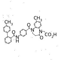 Cc1ccc(-c2ccccc2C(=O)Nc2ccc(C(=O)N3CCC(=O)N(CC(=O)O)c4ccc(C)cc43)cc2)cc1